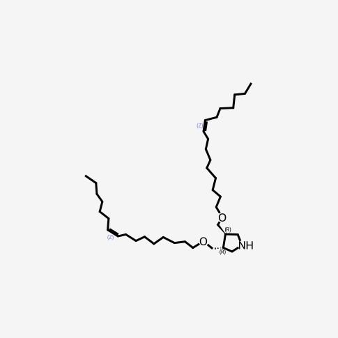 CCCCCC/C=C\CCCCCCCCOC[C@H]1CNC[C@@H]1COCCCCCCCC/C=C\CCCCCC